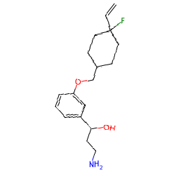 C=CC1(F)CCC(COc2cccc(C(O)CCN)c2)CC1